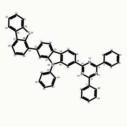 c1ccc(-c2nc(-c3ccccc3)nc(-c3ccc4c5ccc(-c6cccc7c6sc6ccccc67)cc5n(-c5ccccc5)c4c3)n2)cc1